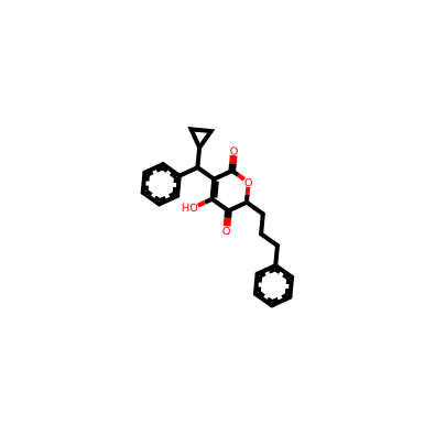 O=C1OC(CCCc2ccccc2)C(=O)C(O)=C1C(c1ccccc1)C1CC1